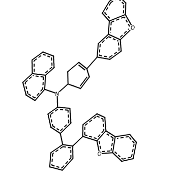 C1=CC(N(c2ccc(-c3ccccc3-c3cccc4c3oc3ccccc34)cc2)c2cccc3ccccc23)CC=C1c1ccc2oc3ccccc3c2c1